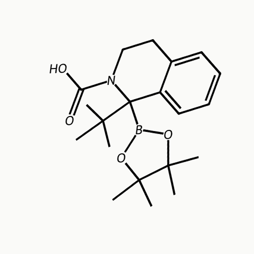 CC(C)(C)C1(B2OC(C)(C)C(C)(C)O2)c2ccccc2CCN1C(=O)O